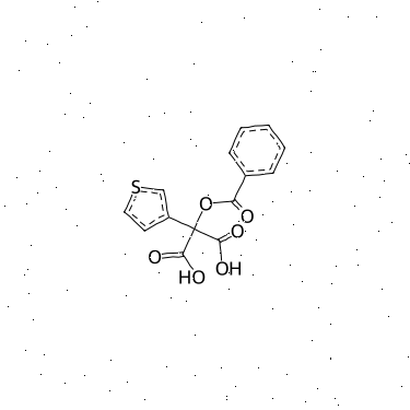 O=C(OC(C(=O)O)(C(=O)O)c1ccsc1)c1ccccc1